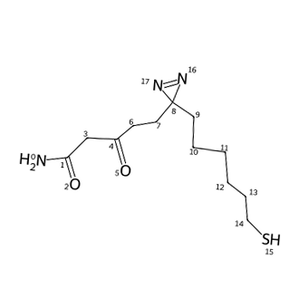 NC(=O)CC(=O)CCC1(CCCCCCS)N=N1